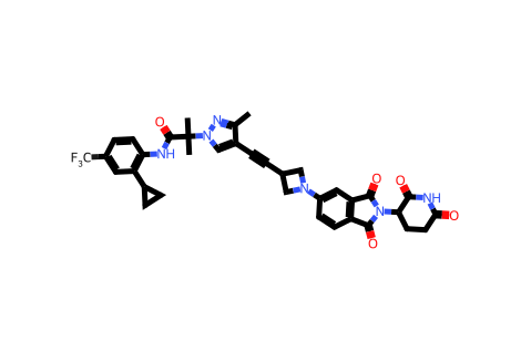 Cc1nn(C(C)(C)C(=O)Nc2ccc(C(F)(F)F)cc2C2CC2)cc1C#CC1CN(c2ccc3c(c2)C(=O)N(C2CCC(=O)NC2=O)C3=O)C1